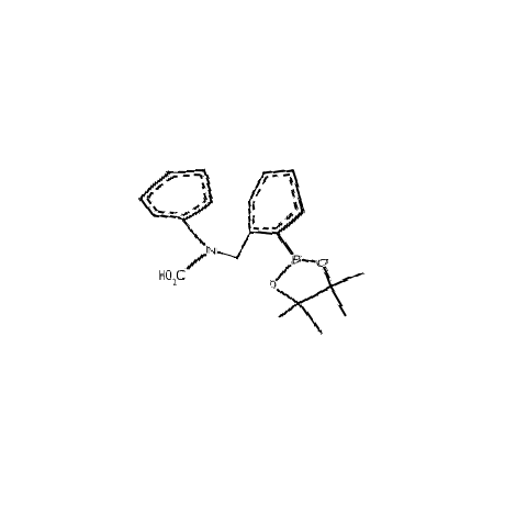 CC1(C)OB(c2ccccc2CN(C(=O)O)c2ccccc2)OC1(C)C